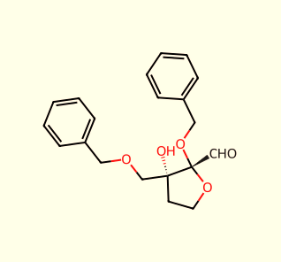 O=C[C@@]1(OCc2ccccc2)OCC[C@@]1(O)COCc1ccccc1